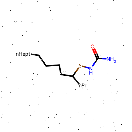 CCCCCCCCCCCC(CCC)SNC(N)=O